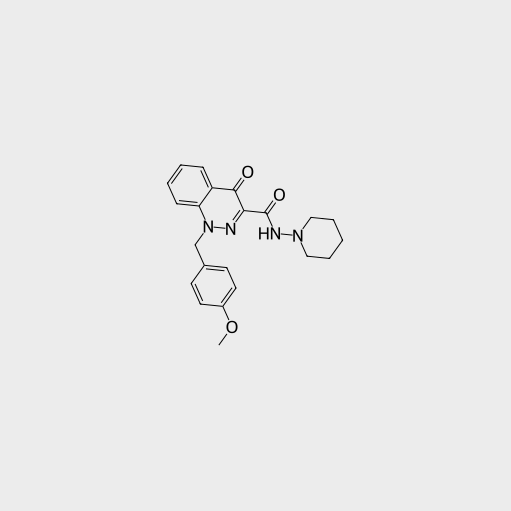 COc1ccc(Cn2nc(C(=O)NN3CCCCC3)c(=O)c3ccccc32)cc1